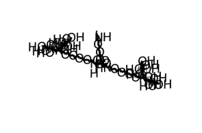 O=C(CN(CC(=O)NCCOCCOCCOCCOCCN(C[C@H](O)[C@@H](O)[C@H](O)[C@H](O)CO)C[C@H](O)[C@@H](O)[C@H](O)[C@H](O)CO)C(=O)OCCOCCOCCNI)NCCOCCOCCOCCOCCN(C[C@H](O)[C@@H](O)[C@H](O)[C@H](O)CO)C[C@H](O)[C@@H](O)[C@H](O)[C@H](O)CO